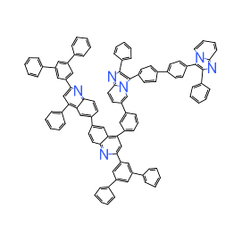 c1ccc(-c2cc(-c3ccccc3)cc(-c3cc(-c4ccccc4)c4cc(-c5ccc6nc(-c7cc(-c8ccccc8)cc(-c8ccccc8)c7)cc(-c7cccc(-c8ccc9nc(-c%10ccccc%10)c(-c%10ccc(-c%11ccc(-c%12c(-c%13ccccc%13)nc%13ccccn%12%13)cc%11)cc%10)n9c8)c7)c6c5)ccc4n3)c2)cc1